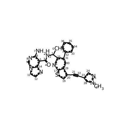 CC(NC(=O)c1c(N)ncn2ccnc12)c1nc2scc(C#Cc3cnn(C)c3)c2cc1-c1ccccc1